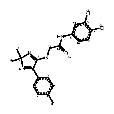 Cc1ccc(C2=NC(C)(C)N=C2SCC(=O)Nc2ccc(Cl)c(Cl)c2)cc1